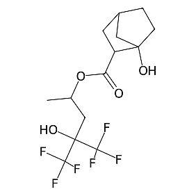 CC(CC(O)(C(F)(F)F)C(F)(F)F)OC(=O)C1CC2CCC1(O)C2